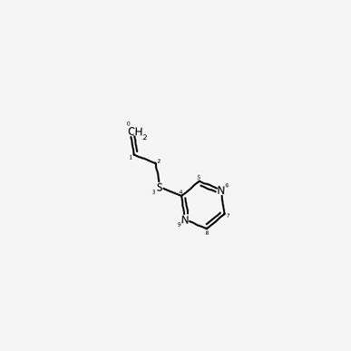 C=CCSc1cnccn1